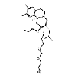 CCCO[C@@]1(CCCOCSCC[18F])C[C@H]2c3cc(C)c(C)cc3CCN2C[C@@H]1CC(C)C